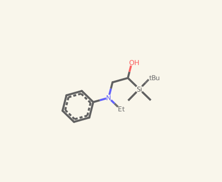 CCN(CC(O)[Si](C)(C)C(C)(C)C)c1ccccc1